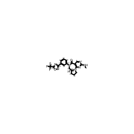 CNc1ncc2c(n1)N1CCC[C@H]1CN(c1cccc(-c3noc(C(F)(F)F)n3)c1)C2=O